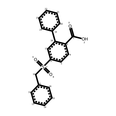 O=C(O)c1ccc(S(=O)(=O)Cc2ccccc2)cc1-c1ccccc1